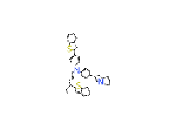 C=CC(C/C=C/N(C/C=C\C(=C/C)C1Cc2ccccc2S1)c1ccc(C2=CN3C=CC=CC3C2)cc1)c1cc2ccccc2s1